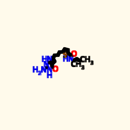 CCC[C@@H](C)NC(=O)c1ccc(CCCc2cc3c(=O)[nH]c(N)nc3[nH]2)s1